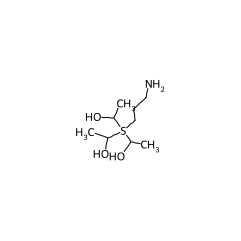 CC(O)S(CCCN)(C(C)O)C(C)O